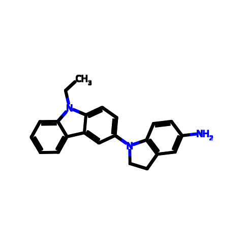 CCn1c2ccccc2c2cc(N3CCc4cc(N)ccc43)ccc21